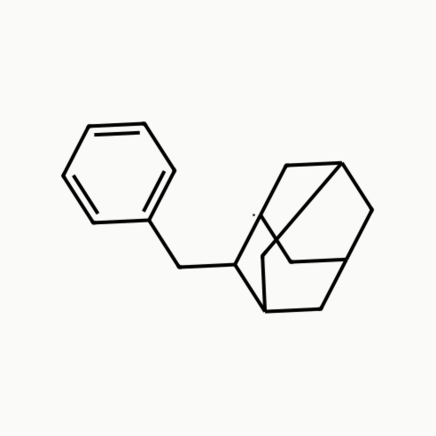 c1ccc(CC2[C]3CC4CC(C3)CC2C4)cc1